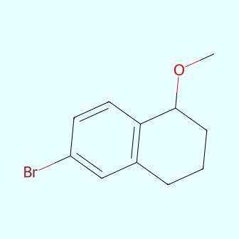 COC1CCCc2cc(Br)ccc21